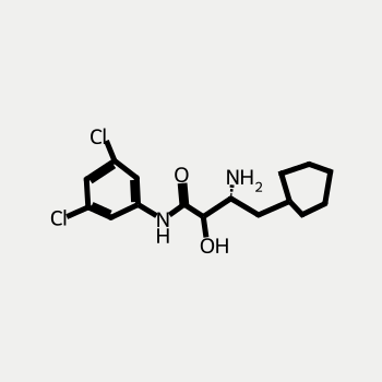 N[C@H](CC1CCCCC1)C(O)C(=O)Nc1cc(Cl)cc(Cl)c1